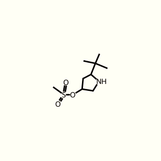 CC(C)(C)C1CC(OS(C)(=O)=O)CN1